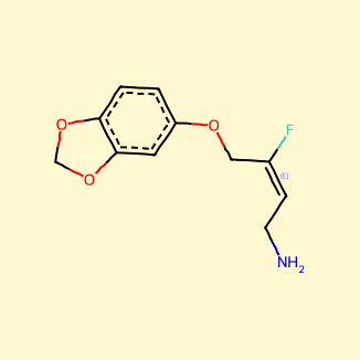 NC/C=C(/F)COc1ccc2c(c1)OCO2